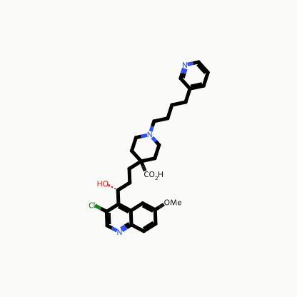 COc1ccc2ncc(Cl)c([C@H](O)CCC3(C(=O)O)CCN(CCCCc4cccnc4)CC3)c2c1